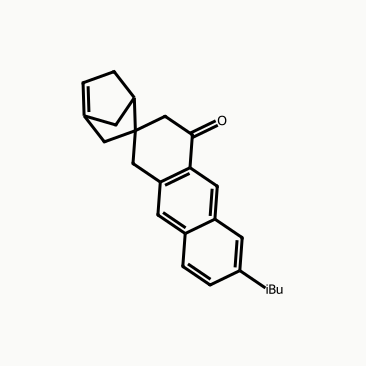 CCC(C)c1ccc2cc3c(cc2c1)C(=O)CC1(CC2=CCC1C2)C3